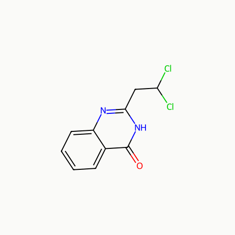 O=c1[nH]c(CC(Cl)Cl)nc2ccccc12